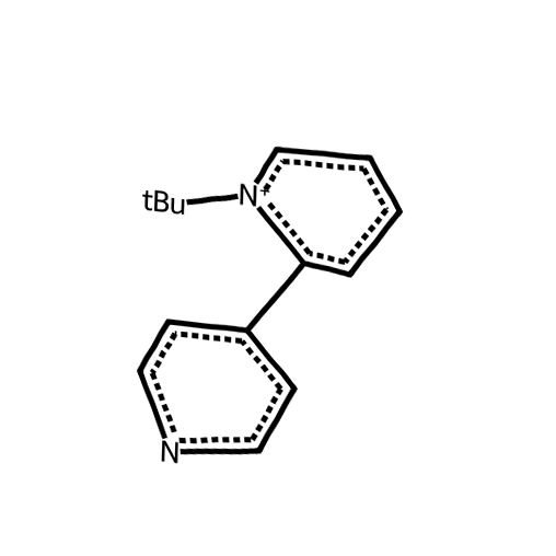 CC(C)(C)[n+]1ccccc1-c1ccncc1